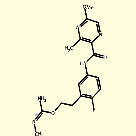 C/N=C(/N)OCCc1cc(NC(=O)c2ncc(OC)nc2C)ccc1F